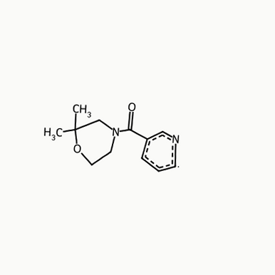 CC1(C)CN(C(=O)c2cc[c]nc2)CCO1